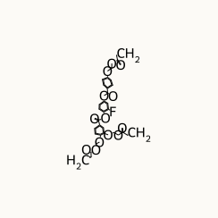 C=CC(=O)OCOc1ccc(C(=O)Oc2ccc(OC(=O)c3ccc(OCOC(=O)C=C)c(OCOC(=O)C=C)c3)c(F)c2)cc1